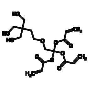 C=CC(=O)OC(COCCC(CO)(CO)CO)(OC(=O)C=C)OC(=O)C=C